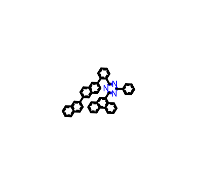 c1ccc(-c2nc(-c3ccccc3-c3ccc4cc(-c5ccc6ccccc6c5)ccc4c3)nc(-c3cc4ccccc4c4ccccc34)n2)cc1